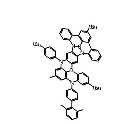 Cc1cc2c3c(c1)N(c1ccc(C(C)(C)C)cc1)c1cc4c(cc1B3c1ccc(C(C)(C)C)cc1N2c1ccc(-c2c(C)cccc2C)cc1)N1B2c3c(cc(C(C)(C)C)cc3-c3ccccc3N24)-c2ccccc21